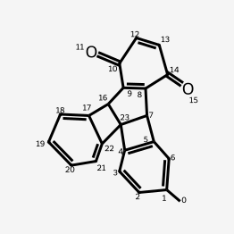 Cc1ccc2c(c1)C1C3=C(C(=O)C=CC3=O)C3c4ccccc4C231